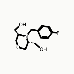 OC[C@@H]1COC[C@@H](CO)N1Cc1ccc(F)cc1